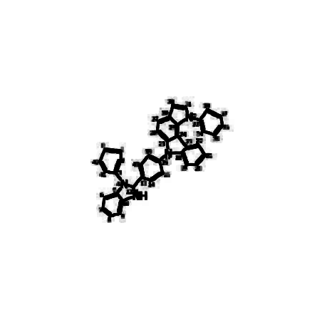 c1ccc(N2c3ccccc3NC2c2ccc(-n3c4ccccc4c4c5c(ccc43)ccn5-c3ccccc3)cc2)cc1